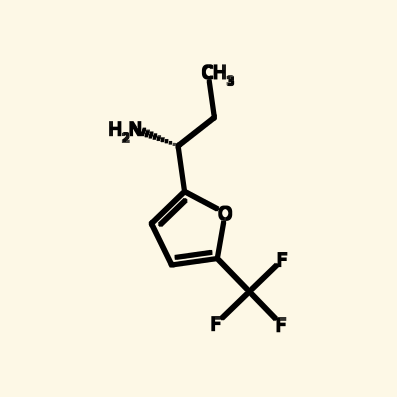 CC[C@@H](N)c1ccc(C(F)(F)F)o1